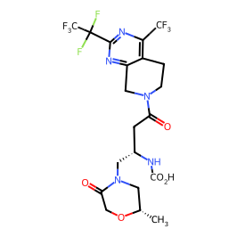 C[C@H]1CN(C[C@H](CC(=O)N2CCc3c(nc(C(F)(F)C(F)(F)F)nc3C(F)(F)F)C2)NC(=O)O)C(=O)CO1